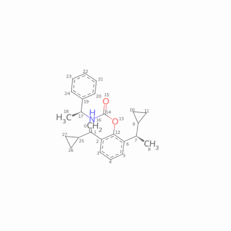 C=C(c1cccc([C@H](C)C2CC2)c1OC(=O)N[C@@H](C)c1ccccc1)C1CC1